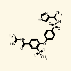 CC(NS(=O)(=O)c1ccc(Oc2ccc(C(=O)NC(=N)N)cc2S(C)(=O)=O)cc1)c1c[nH]cn1